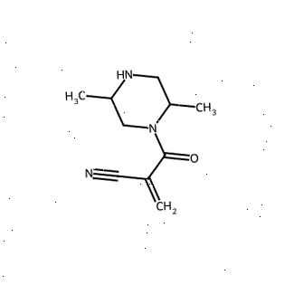 C=C(C#N)C(=O)N1CC(C)NCC1C